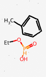 CCO[PH](=O)O.Cc1ccccc1